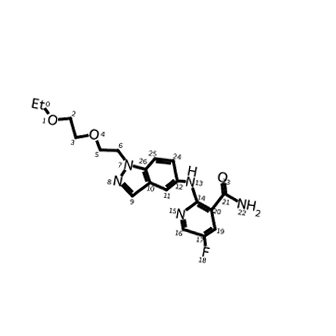 CCOCCOCCn1ncc2cc(Nc3ncc(F)cc3C(N)=O)ccc21